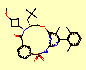 COC1CC(N2C(=O)c3cccc(c3)S(=O)(=O)Nc3nc(c(C)c(-c4c(C)cccc4C)n3)OC[C@H]2CC(C)(C)C)C1